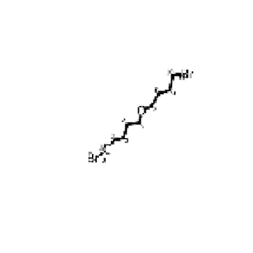 BrCCCCCOCCCCBr